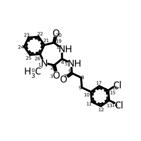 CN1C(=O)C(NC(=O)CCc2ccc(Cl)c(Cl)c2)NC(=O)c2ccccc21